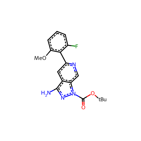 COc1cccc(F)c1-c1cc2c(N)nn(C(=O)OC(C)(C)C)c2cn1